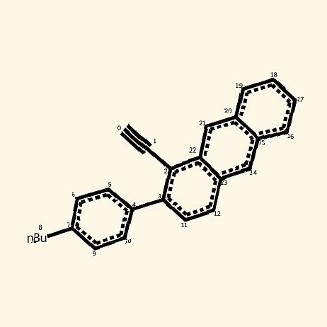 C#Cc1c(-c2ccc(CCCC)cc2)ccc2cc3ccccc3cc12